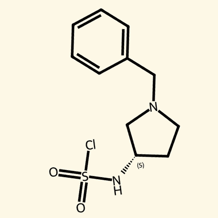 O=S(=O)(Cl)N[C@H]1CCN(Cc2ccccc2)C1